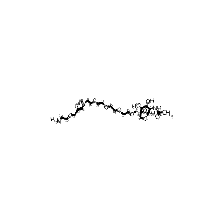 CC(=O)N[C@H]1[C@H]2OC[C@](COCCOCCOCCOCCn3cc(COCCN)nn3)(O2)[C@H](O)[C@@H]1O